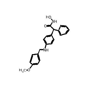 COc1ccc(CNc2ccc(C(C(=O)NO)c3ccccc3)cc2)cc1